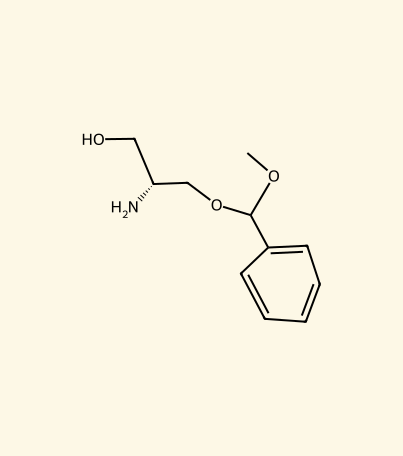 COC(OC[C@H](N)CO)c1ccccc1